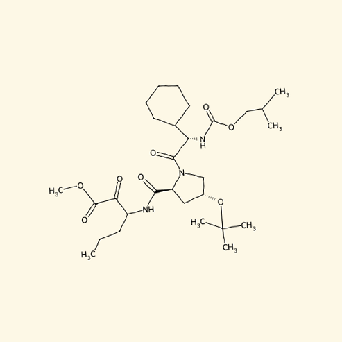 CCCC(NC(=O)[C@@H]1C[C@@H](OC(C)(C)C)CN1C(=O)[C@@H](NC(=O)OCC(C)C)C1CCCCC1)C(=O)C(=O)OC